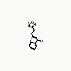 O=c1cc(CCc2cnon2)oc2ccccc12